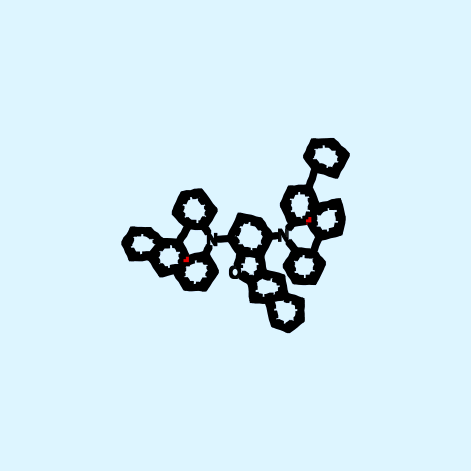 c1ccc(-c2ccc(N(c3ccccc3-c3ccccc3)c3ccc(N(c4ccccc4)c4ccccc4-c4cccc5ccccc45)c4oc5cc6ccccc6cc5c34)cc2)cc1